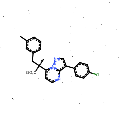 CCOC(=O)C(C)(Cc1cccc(C)c1)c1ccnc2c(-c3ccc(Cl)cc3)cnn12